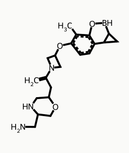 C=C(CC1CNC(CN)CO1)N1CC(Oc2ccc3c(c2C)OBC2CC32)C1